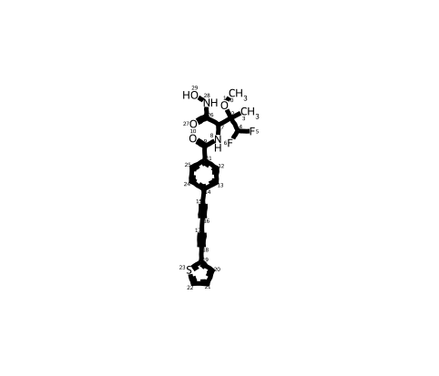 COC(C)(C(F)F)C(NC(=O)c1ccc(C#CC#Cc2cccs2)cc1)C(=O)NO